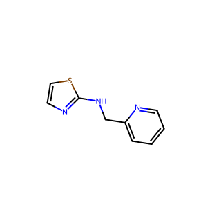 c1ccc(CNc2nccs2)nc1